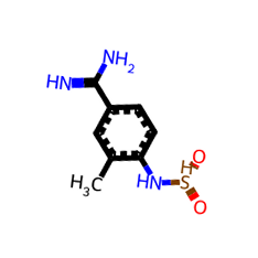 Cc1cc(C(=N)N)ccc1N[SH](=O)=O